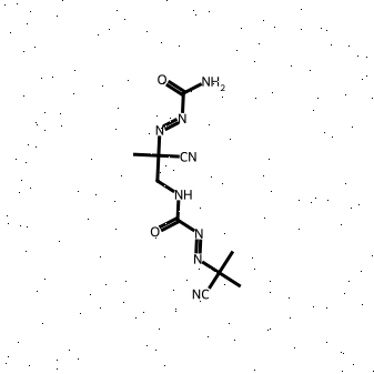 CC(C)(C#N)N=NC(=O)NCC(C)(C#N)N=NC(N)=O